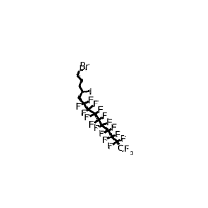 FC(F)(F)C(F)(F)C(F)(F)C(F)(F)C(F)(F)C(F)(F)C(F)(F)C(F)(F)C(F)(F)CC(I)CCCBr